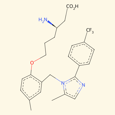 Cc1ccc(OCCC[C@@H](N)CC(=O)O)c(Cn2c(C)cnc2-c2ccc(C(F)(F)F)cc2)c1